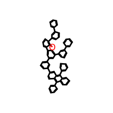 c1ccc(-c2cccc(-c3cccc4c3oc3c(-c5cccc(-c6ccccc6)c5)cc(-c5cccc(-c6ccc7c(-c8ccccc8)c8ccccc8c(-c8ccccc8)c7c6)c5)cc34)c2)cc1